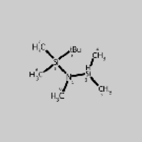 CN([SiH](C)C)[Si](C)(C)C(C)(C)C